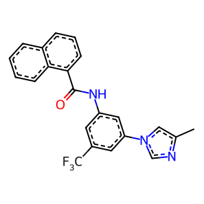 Cc1cn(-c2cc(NC(=O)c3cccc4ccccc34)cc(C(F)(F)F)c2)cn1